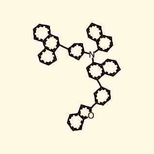 c1cc(-c2cc3ccccc3o2)cc(-c2ccc(N(c3ccc(-c4cc5ccccc5c5ccccc45)cc3)c3cccc4ccccc34)c3ccccc23)c1